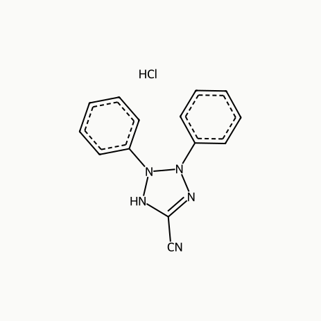 Cl.N#CC1=NN(c2ccccc2)N(c2ccccc2)N1